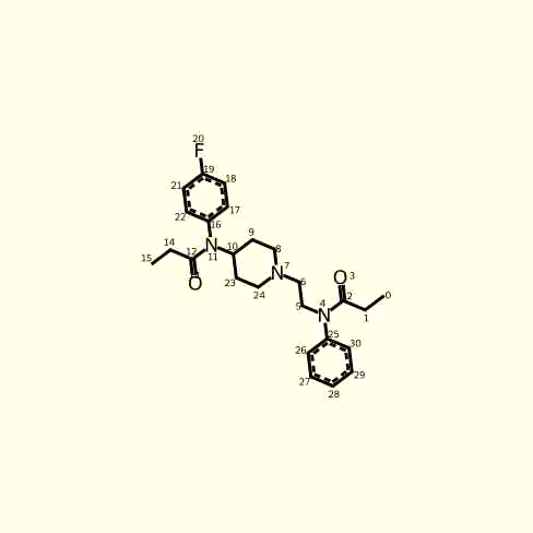 CCC(=O)N(CCN1CCC(N(C(=O)CC)c2ccc(F)cc2)CC1)c1ccccc1